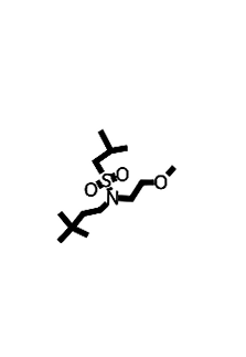 COCCN(CCC(C)(C)C)S(=O)(=O)CC(C)C